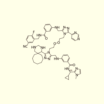 Cn1ccnc1[C@H](NC(=O)c1cccc(NCc2nnc(C3NCNCC34CCCCCCC4)n2CCOOCCn2c(CNc3cccc(C(=O)NCc4cc(C#N)ccc4F)c3)nnc2-c2ccncn2)c1)C1CC1